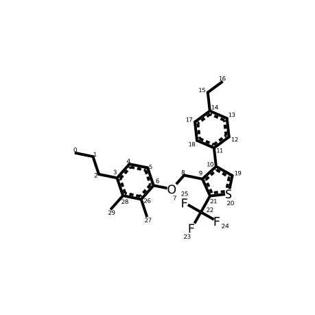 CCCc1ccc(OCc2c(-c3ccc(CC)cc3)csc2C(F)(F)F)c(C)c1C